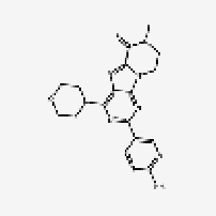 CN1CCn2c(nc3c(N4CCOCC4)nc(-c4cnc(N)nc4)nc32)C1=O